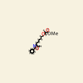 COC(=O)C(C)(C)OCCCCCCc1nc(-c2ccccc2)oc1C